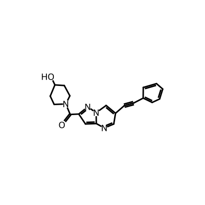 O=C(c1cc2ncc(C#Cc3ccccc3)cn2n1)N1CCC(O)CC1